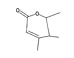 CC1=CC(=O)OC(C)C1C